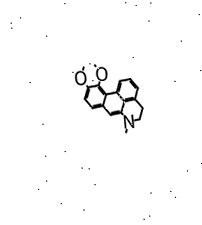 COc1ccc2cc3c4c(cccc4c2c1OC)CCN3C